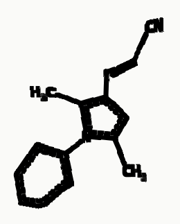 Cc1cc(C=CC#N)c(C)n1-c1ccccc1